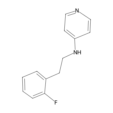 Fc1ccccc1CCNc1ccncc1